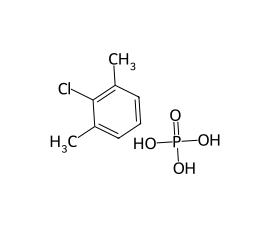 Cc1cccc(C)c1Cl.O=P(O)(O)O